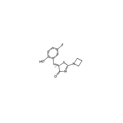 O=C1N=C(N2CCC2)S/C1=C\c1cc(F)ccc1O